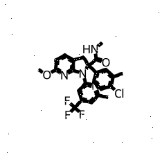 CNC(=O)C1(c2ccc(Cl)c(C)c2)Cc2ccc(OC)nc2N1c1cc(C(F)(F)F)cc(C)n1